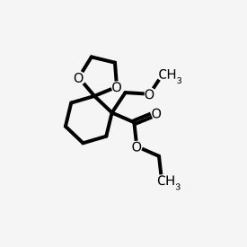 CCOC(=O)C1(COC)CCCCC12OCCO2